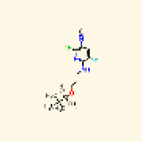 [C-]#[N+]c1cc(F)c(NCCCO[Si](C)(C)C(C)(C)C)nc1Cl